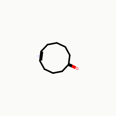 O=C1CCC/C=C\CCCC1